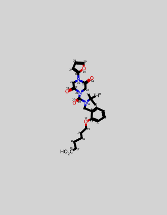 [2H]C(C)(C)N(Cc1ccccc1OCCCCCC(=O)O)C(=O)N1CC(=O)N(c2ccco2)CC1=O